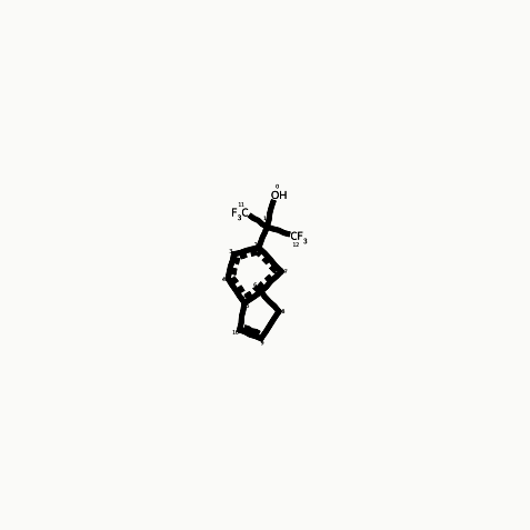 OC(c1ccc2c(c1)CC=C2)(C(F)(F)F)C(F)(F)F